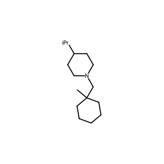 CC(C)C1CCN(CC2(C)CCCCC2)CC1